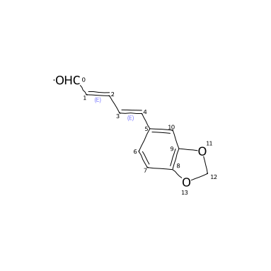 O=[C]/C=C/C=C/c1ccc2c(c1)OCO2